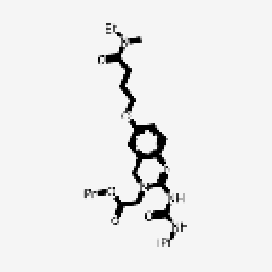 CCN(C)C(=O)CCCOc1ccc2c(c1)CN(CC(=O)OC(C)C)C(NC(=O)NC(C)C)=N2